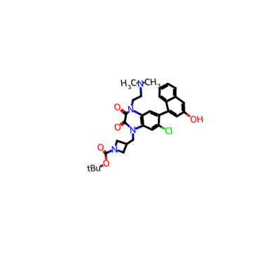 CN(C)CCn1c(=O)c(=O)n(CC2CN(C(=O)OC(C)(C)C)C2)c2cc(Cl)c(-c3cc(O)cc4ccccc34)cc21